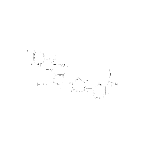 COP(=O)(Nc1cc(-c2ccc(-c3cccc([N+](=O)O)c3)cc2)sc1C(=O)O)c1ccc(C)cc1C